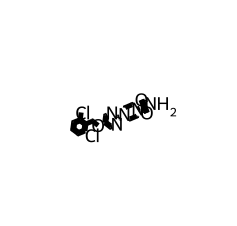 NS(=O)(=O)N1CCN(c2ncc(OCc3c(Cl)cccc3Cl)cn2)CC1